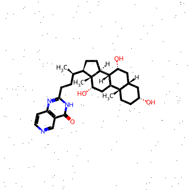 C[C@H](CCc1nc2ccncc2c(=O)[nH]1)[C@H]1CC[C@H]2[C@H]3C(C[C@H](O)[C@]12C)[C@@]1(C)CC[C@@H](O)C[C@H]1C[C@H]3O